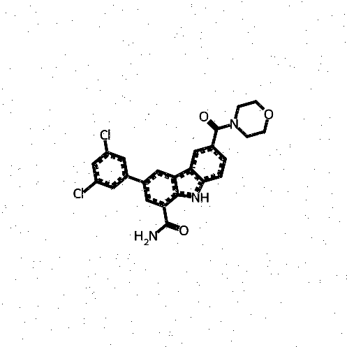 NC(=O)c1cc(-c2cc(Cl)cc(Cl)c2)cc2c1[nH]c1ccc(C(=O)N3CCOCC3)cc12